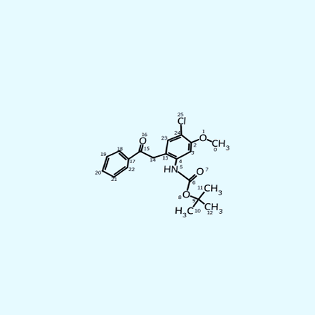 COc1cc(NC(=O)OC(C)(C)C)c(CC(=O)c2ccccc2)cc1Cl